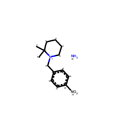 CC1(C)CCCCN1Cc1ccc([N+](=O)[O-])cc1.N